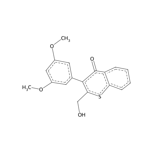 COc1cc(OC)cc(-c2c(CO)sc3ccccc3c2=O)c1